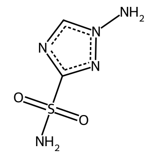 Nn1cnc(S(N)(=O)=O)n1